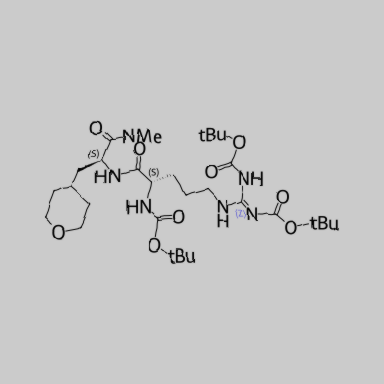 CNC(=O)[C@H](CC1CCOCC1)NC(=O)[C@H](CCCN/C(=N/C(=O)OC(C)(C)C)NC(=O)OC(C)(C)C)NC(=O)OC(C)(C)C